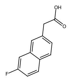 O=C(O)Cc1ccc2ccc(F)cc2c1